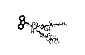 C=CCOC(=O)NCC1(O)CN(C(=O)[C@H](CCCCNC(=O)OC(C)(C)C)NC(=O)OCC2c3ccccc3-c3ccccc32)C1